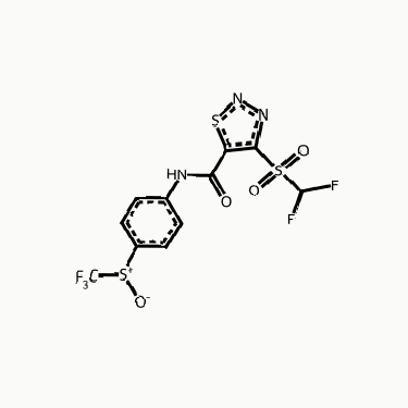 O=C(Nc1ccc([S+]([O-])C(F)(F)F)cc1)c1snnc1S(=O)(=O)C(F)F